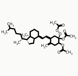 C=C1CC(OC(C)=O)[C@@](OOC(C)=O)(OC(C)=O)C/C1=C/C=C1CCC[C@@]2(C)C1CC[C@@H]2[C@H](C)CCCC(C)C